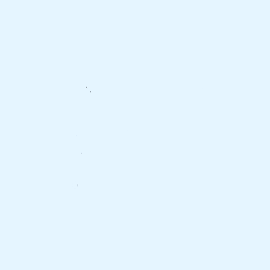 Cc1c(C(=O)O)cc(-c2ccccc2)c(C)c1C.N